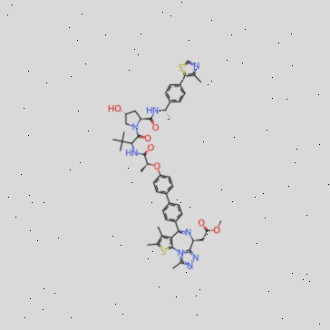 COC(=O)C[C@@H]1N=C(c2ccc(-c3ccc(O[C@@H](C)C(=O)N[C@H](C(=O)N4C[C@H](O)C[C@H]4C(=O)N[C@@H](C)c4ccc(-c5scnc5C)cc4)C(C)(C)C)cc3)cc2)c2c(sc(C)c2C)-n2c(C)nnc21